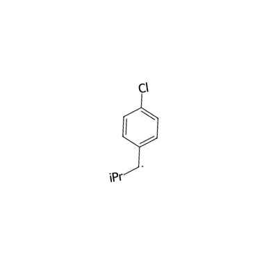 CC(C)[CH]c1ccc(Cl)cc1